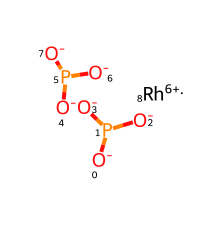 [O-]P([O-])[O-].[O-]P([O-])[O-].[Rh+6]